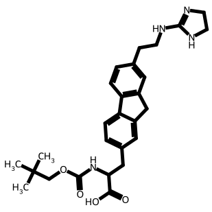 CC(C)(C)COC(=O)NC(Cc1ccc2c(c1)Cc1cc(CCNC3=NCCN3)ccc1-2)C(=O)O